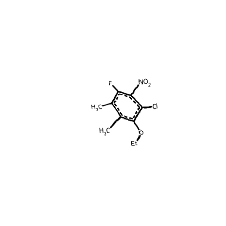 CCOc1c(C)c(C)c(F)c([N+](=O)[O-])c1Cl